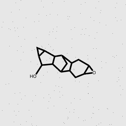 OC1C2CC2C2C3CC(C4CC5OC5CC43)C12